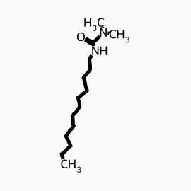 CCCCCCCCCCCCNC(=O)N(C)C